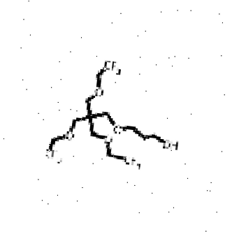 OCCCOCC(COCC(F)(F)F)(COCC(F)(F)F)COCC(F)(F)F